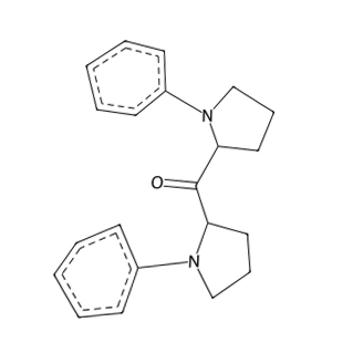 O=C(C1CCCN1c1ccccc1)C1CCCN1c1ccccc1